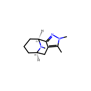 Cc1c2c(nn1C)[C@@H]1CCC[C@H](C2)N1C